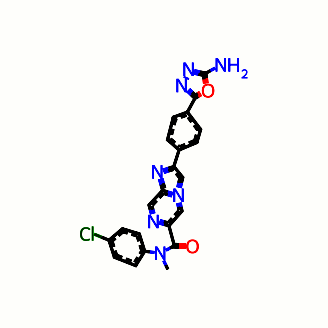 CN(C(=O)c1cn2cc(-c3ccc(-c4nnc(N)o4)cc3)nc2cn1)c1ccc(Cl)cc1